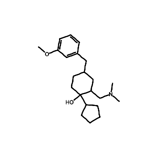 COc1cccc(CC2CCC(O)(C3CCCC3)C(CN(C)C)C2)c1